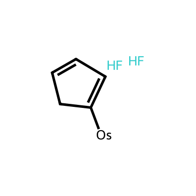 F.F.[Os][C]1=CC=CC1